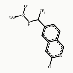 CC(C)(C)[S@@+]([O-])NC(c1ccc2cnc(Cl)cc2c1)C(F)(F)F